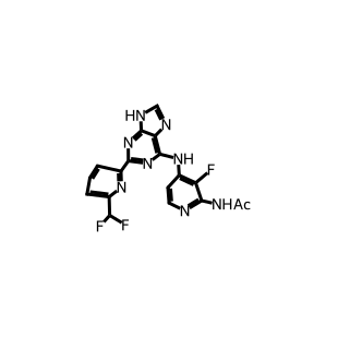 CC(=O)Nc1nccc(Nc2nc(-c3cccc(C(F)F)n3)nc3[nH]cnc23)c1F